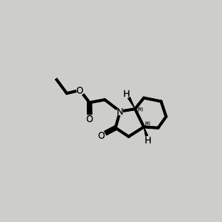 CCOC(=O)CN1C(=O)C[C@H]2CCCC[C@H]21